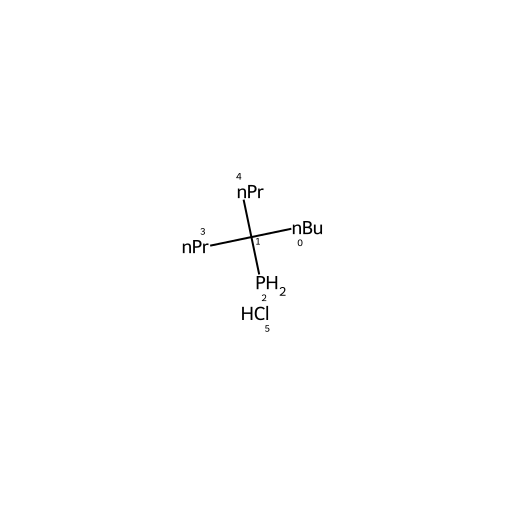 CCCCC(P)(CCC)CCC.Cl